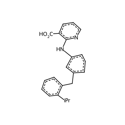 CC(C)c1ccccc1Cc1cccc(Nc2ncccc2C(=O)O)c1